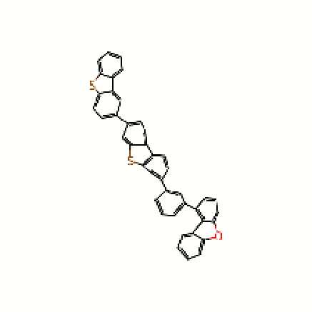 c1cc(-c2ccc3c(c2)sc2cc(-c4ccc5sc6ccccc6c5c4)ccc23)cc(-c2cccc3oc4ccccc4c23)c1